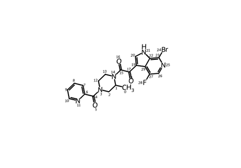 CC1CN(C(=O)c2ccccn2)CCN1C(=O)C(=O)c1c[nH]c2c(Br)ncc(F)c12